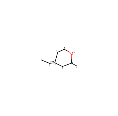 CC=C1CCOC(C)C1